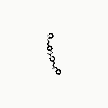 CN(CCC1CCN(C(=O)Oc2ccc(CCSc3ccccn3)cc2)CC1)Cc1ccccc1